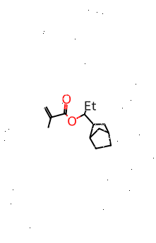 C=C(C)C(=O)OC(CC)C1CC2CCC1C2